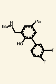 CC(C)(C)NCc1cc(C(C)(C)C)cc(-c2ccc(F)c(F)c2)c1O